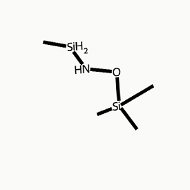 C[SiH2]NO[Si](C)(C)C